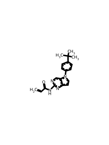 C=CC(=O)Nc1ncc2c(ccn2-c2ccc(C(C)(C)C)cc2)n1